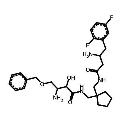 NC(CC(=O)NCC1(CNC(=O)C(O)C(N)COCc2ccccc2)CCCC1)Cc1cc(F)ccc1F